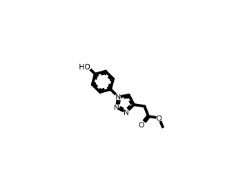 COC(=O)Cc1cn(-c2ccc(O)cc2)nn1